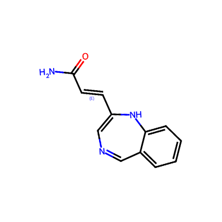 NC(=O)/C=C/C1=CN=Cc2ccccc2N1